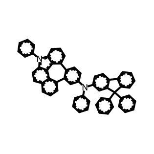 c1ccc(N(c2ccc3c(c2)-c2cccc4ccc5c(c24)c2c-3cccc2n5-c2ccccc2)c2ccc3c(c2)C(c2ccccc2)(c2ccccc2)c2ccccc2-3)cc1